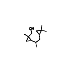 CC(CC1CC1(C)C)C1CC1(C)CO